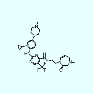 CN1CCN(c2ccc(Nc3ncc(C(F)(F)F)c(NCCCN4C=CCN(C)CC4=O)n3)c(C3CC3)c2)CC1